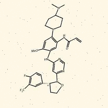 C=CC(=O)Nc1cc(Nc2cc(N3OCC[C@@H]3c3ccc(F)c(C(F)(F)F)c3)ncn2)c(OC)cc1N1CCC(N(C)C)CC1